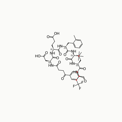 Cc1ccc(C(=O)CCC(=O)N[C@@H](CC(=O)O)C(=O)N[C@@H](CCC(=O)O)C(=O)N[C@@H](Cc2ccccc2C)C(=O)N[C@H](C(=O)N[C@@H](CC(C)C)C(=O)NC(C=O)CC(F)(F)F)C(C)(C)C)cc1